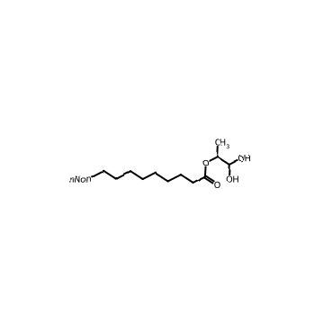 CCCCCCCCCCCCCCCCCC(=O)OC(C)C(O)O